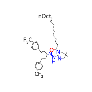 CCCCCCCCC=CCCCCCCCC(=O)N1CC(C)(C)CN=C1NN=C(C=Cc1ccc(C(F)(F)F)cc1)C=Cc1ccc(C(F)(F)F)cc1